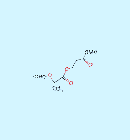 COC(=O)CCOC(=O)C(O[C]=O)C(Cl)(Cl)Cl